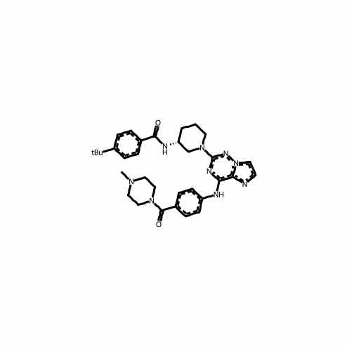 CN1CCN(C(=O)c2ccc(Nc3nc(N4CCC[C@@H](NC(=O)c5ccc(C(C)(C)C)cc5)C4)nn4ccnc34)cc2)CC1